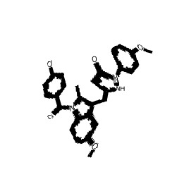 COc1ccc(-n2[nH]c(Cc3c(C)n(C(=O)c4ccc(Cl)cc4)c4ccc(OC)cc34)cc2=O)cc1